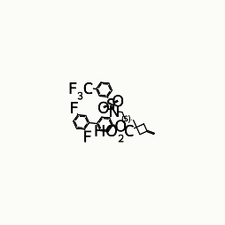 C=C1CC(C[C@H]2CN(S(=O)(=O)c3cccc(C(F)(F)F)c3)c3cc(-c4cc(F)ccc4F)ccc3O2)(C(=O)O)C1